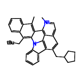 Cc1c2ccccc2c(CC(C)(C)C)c2c1c1c3c(cc[n+]1C)cc(CC1CCCC1)c1c4ccccc4n2c13